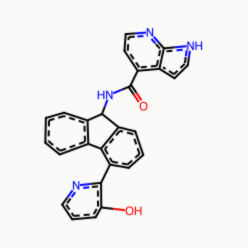 O=C(NC1c2ccccc2-c2c(-c3ncccc3O)cccc21)c1ccnc2[nH]ccc12